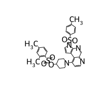 Cc1ccc(S(=O)(=O)n2ccc3c4c(N5CCC(OS(=O)(=O)c6ccc(C)cc6C)CC5)ccnc4cnc32)cc1